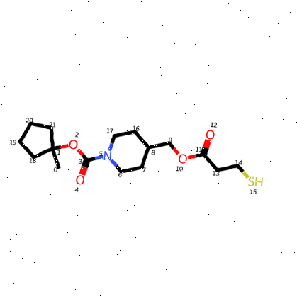 CC1(OC(=O)N2CCC(COC(=O)CCS)CC2)CCCC1